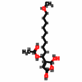 COCCCCCCCCCC(OC(C)=O)C1=CC(=O)OC1O